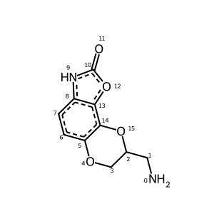 NCC1COc2ccc3[nH]c(=O)oc3c2O1